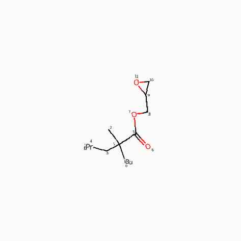 CCC(C)C(C)(CC(C)C)C(=O)OCC1CO1